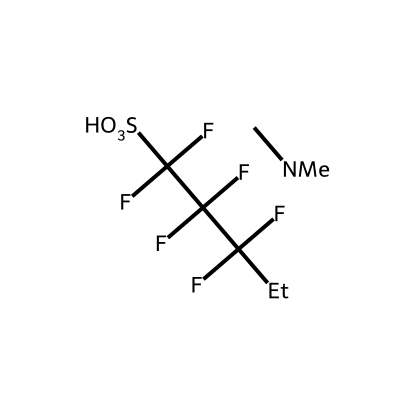 CCC(F)(F)C(F)(F)C(F)(F)S(=O)(=O)O.CNC